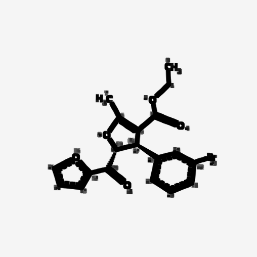 CCOC(=O)C1=C(C)O[C@@H](C(=O)c2ccco2)[C@@H]1c1cccc(Br)c1